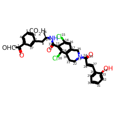 O=CC(=O)c1cccc(C[C@H](NC(=O)c2c(Cl)cc3c(c2Cl)CCN(C(=O)/C=C/c2ccccc2O)C3)C(=O)O)c1